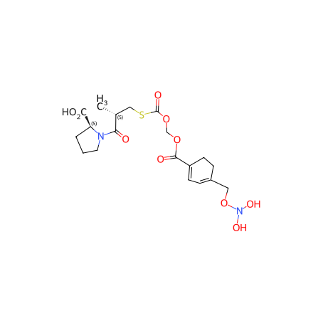 C[C@H](CSC(=O)OCOC(=O)C1=CC=C(CON(O)O)CC1)C(=O)N1CCC[C@H]1C(=O)O